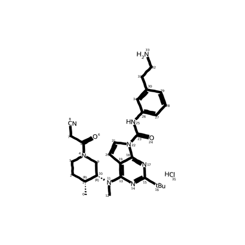 C[C@@H]1CCN(C(=O)CC#N)C[C@@H]1N(C)c1nc(C(C)(C)C)nc2c1ccn2C(=O)Nc1cccc(CCN)c1.Cl